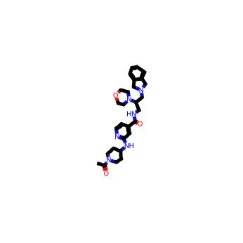 CC(=O)N1CCC(Nc2cc(C(=O)NCC(CN3Cc4ccccc4C3)N3CCOCC3)ccn2)CC1